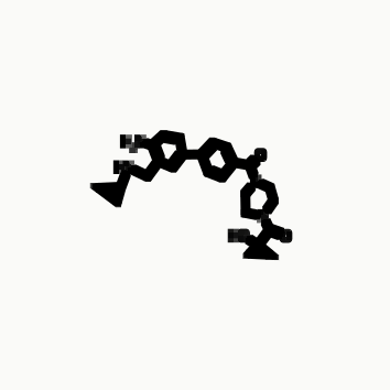 Nc1ccc(-c2ccc(C(=O)N3CCN(C(=O)C4(O)CC4)CC3)cc2)cc1CNC1CC1